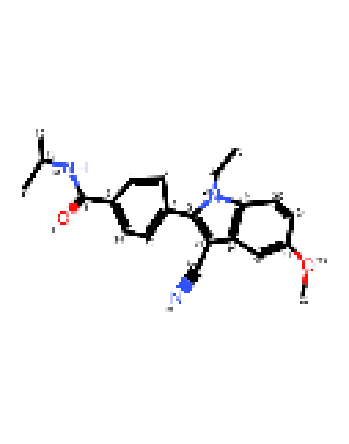 CCn1c(-c2ccc(C(=O)NC(C)C)cc2)c(C#N)c2cc(OC)ccc21